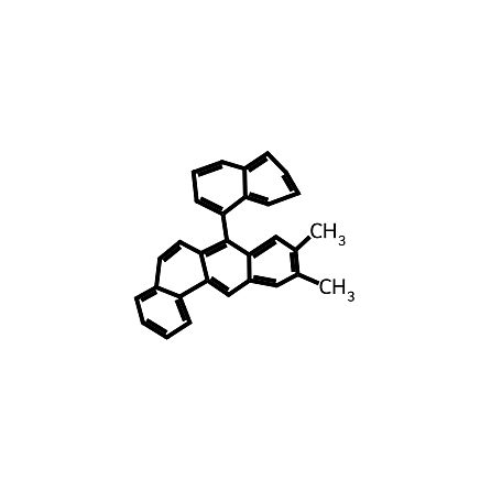 Cc1cc2cc3c(ccc4ccccc43)c(-c3cccc4ccccc34)c2cc1C